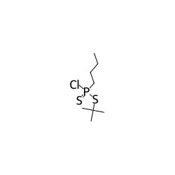 CCCCP(=S)(Cl)SC(C)(C)C